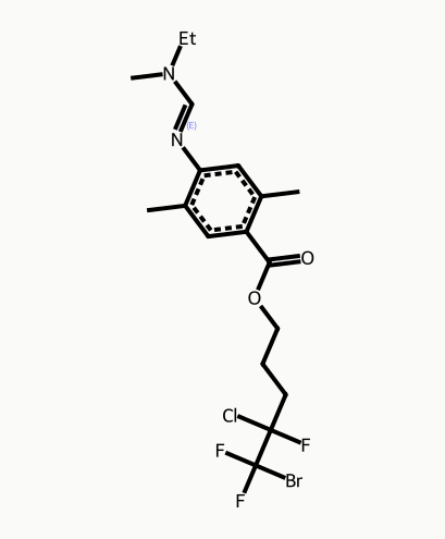 CCN(C)/C=N/c1cc(C)c(C(=O)OCCCC(F)(Cl)C(F)(F)Br)cc1C